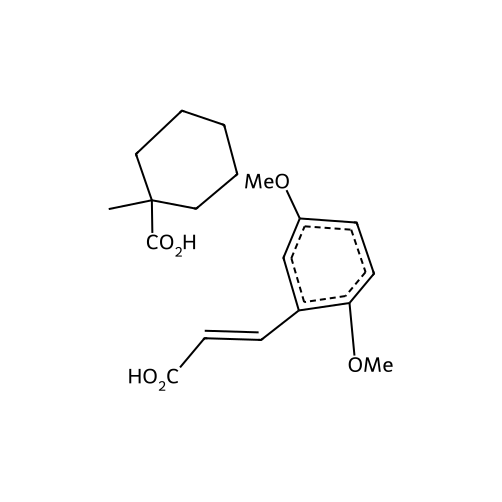 CC1(C(=O)O)CCCCC1.COc1ccc(OC)c(/C=C/C(=O)O)c1